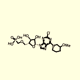 COC1CCCN(c2nc(Cl)nc3c2ncn3[C@@H]2O[C@H](COCP(=O)(O)O)[C@@H](O)[C@H]2O)C1